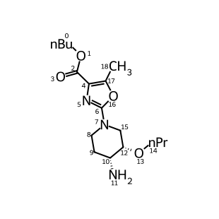 CCCCOC(=O)c1nc(N2CC[C@@H](N)[C@@H](OCCC)C2)oc1C